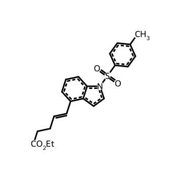 CCOC(=O)CCC=Cc1cccc2c1ccn2S(=O)(=O)c1ccc(C)cc1